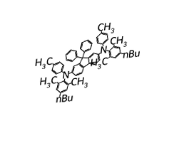 CCCCc1cc(C)c(N(c2ccc(C)cc2)c2ccc3c(c2)C(c2ccccc2)(c2ccccc2)c2cc(N(c4ccc(C)cc4)c4c(C)cc(CCCC)cc4C)ccc2-3)c(C)c1